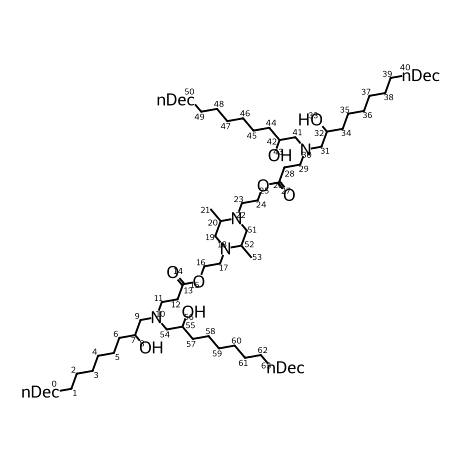 CCCCCCCCCCCCCCCCC(O)CN(CCC(=O)OCCN1CC(C)N(CCOC(=O)CCN(CC(O)CCCCCCCCCCCCCCCC)CC(O)CCCCCCCCCCCCCCCC)CC1C)CC(O)CCCCCCCCCCCCCCCC